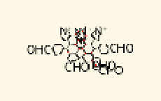 CC(c1ccc(C=O)cc1)C(c1cc[n+](C)cc1)C(c1cc[n+](C)cc1)C(c1ccc(C=O)cc1)C(c1ccc(C=O)cc1)C(c1cc[n+](C)cc1)C(c1cc[n+](C)cc1)C(c1ccc(C=O)cc1)C(c1ccc(C=O)cc1)[C@H](C)c1cc[n+](C)cc1